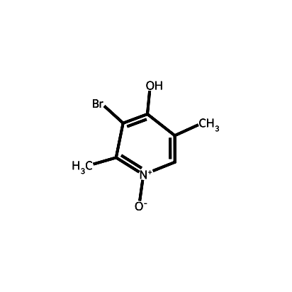 Cc1c[n+]([O-])c(C)c(Br)c1O